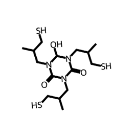 CC(CS)CN1C(=O)N(CC(C)CS)C(O)N(CC(C)CS)C1=O